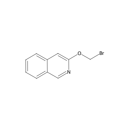 BrCOc1cc2ccccc2cn1